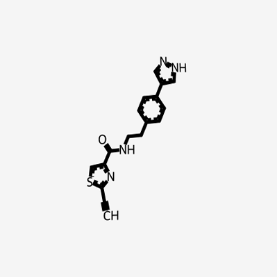 C#Cc1nc(C(=O)NCCc2ccc(-c3cn[nH]c3)cc2)cs1